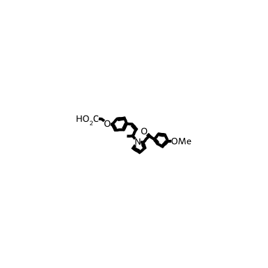 COc1ccc(C(=O)c2cccn2C(C)C=Cc2ccc(OCC(=O)O)cc2)cc1